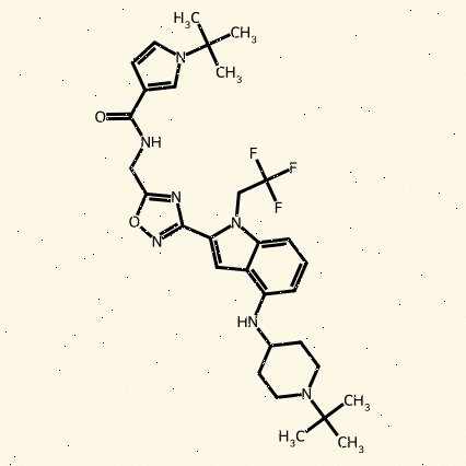 CC(C)(C)N1CCC(Nc2cccc3c2cc(-c2noc(CNC(=O)c4ccn(C(C)(C)C)c4)n2)n3CC(F)(F)F)CC1